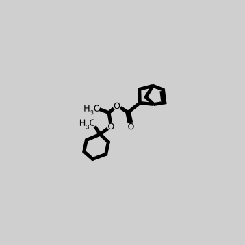 CC(OC(=O)C1CC2C=CC1C2)OC1(C)CCCCC1